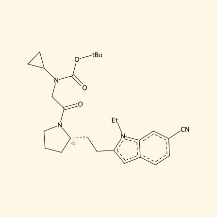 CCn1c(CC[C@@H]2CCCN2C(=O)CN(C(=O)OC(C)(C)C)C2CC2)cc2ccc(C#N)cc21